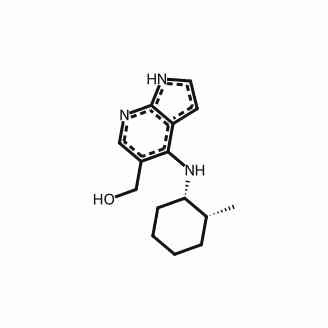 C[C@@H]1CCCC[C@@H]1Nc1c(CO)cnc2[nH]ccc12